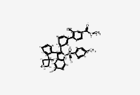 COC(=O)c1ccc(-c2cccc(-c3c(-c4ccccc4C4(F)CNC4)c4cc(F)ccc4n3S(=O)(=O)c3ccc(C)cc3)c2)c(Cl)c1